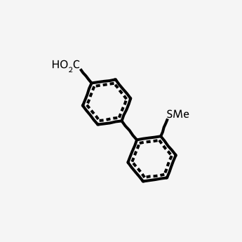 CSc1ccccc1-c1ccc(C(=O)O)cc1